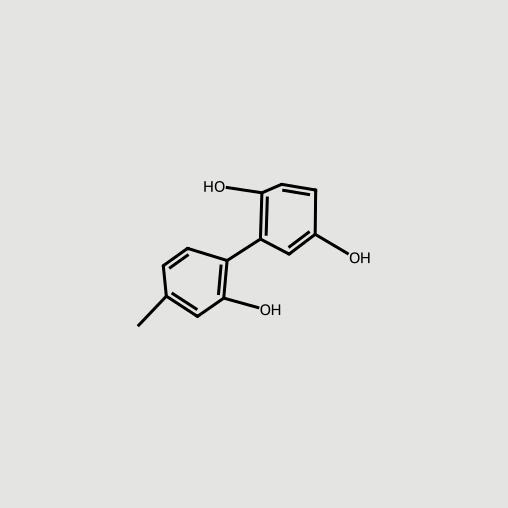 Cc1ccc(-c2cc(O)ccc2O)c(O)c1